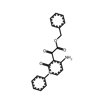 Nc1ccn(-c2ccccc2)c(=O)c1C(=O)C(=O)OCc1ccccc1